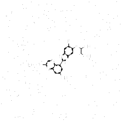 CCOC(=O)c1cnc2c(-c3nc4cc(F)c(OC(C)CO)cc4s3)cc(C)cc2n1